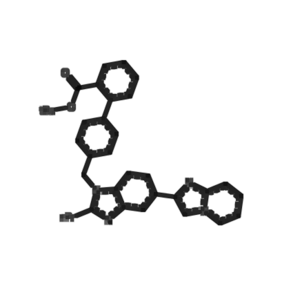 CCCc1nc2cc(-c3cn4ccccc4n3)ccc2n1Cc1ccc(-c2ccccc2C(=O)OC(C)(C)C)cc1